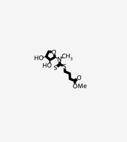 COC(=O)CCCSC(=S)N(C)[C@H]1OC[C@@H](O)[C@@H]1O